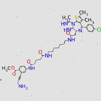 COC(=O)c1ccc(NC(=O)CCCC(=O)NCCCCCCCNC(=O)C[C@@H]2N=C(c3ccc(Cl)cc3)c3c(sc(C)c3C)N(C(C)=N)C2=N)cc1C#CCN